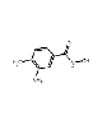 Cc1ccc(C(=O)NO)cc1C